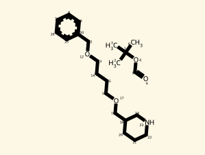 CC(C)(C)OC=O.c1ccc(COCCCCOCC2CCCNC2)cc1